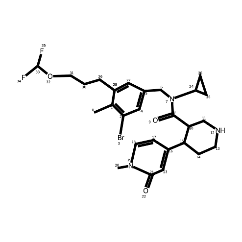 Cc1c(Br)cc(CN(C(=O)C2CNCCC2c2ccn(C)c(=O)c2)C2CC2)cc1CCCOC(F)F